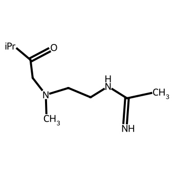 CC(=N)NCCN(C)CC(=O)C(C)C